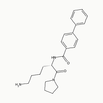 NCCCC[C@H](NC(=O)c1ccc(-c2ccccc2)cc1)C(=O)N1CCCC1